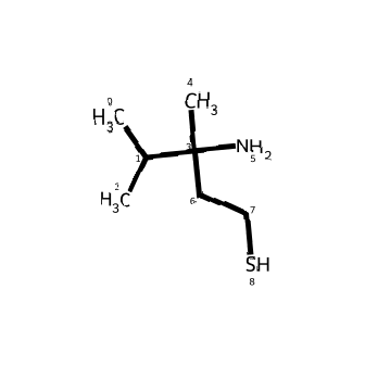 CC(C)C(C)(N)CCS